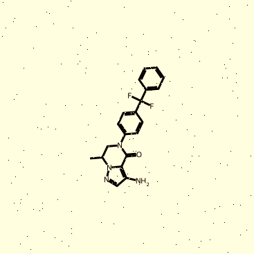 CC1CN(c2ccc(C(F)(F)c3ccccc3)cc2)C(=O)c2c(N)cnn21